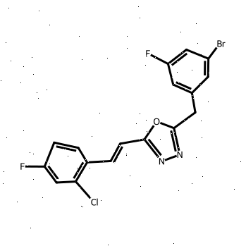 Fc1cc(Br)cc(Cc2nnc(/C=C/c3ccc(F)cc3Cl)o2)c1